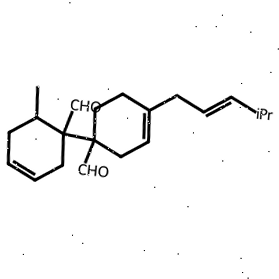 CC(C)C=CCC1=CCC(C=O)(C2(C=O)CC=CCC2C)CC1